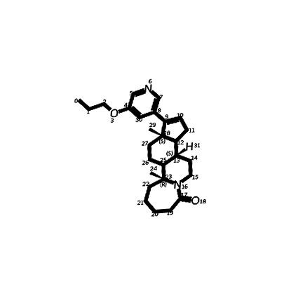 CCCOc1cncc(C2=CCC3[C@@H]4CCN5C(=O)CCCC[C@]5(C)C4CC[C@]23C)c1